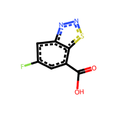 O=C(O)c1cc(F)cc2nnsc12